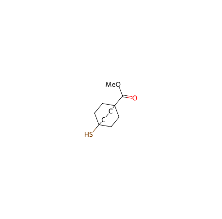 COC(=O)C12CCC(S)(CC1)CC2